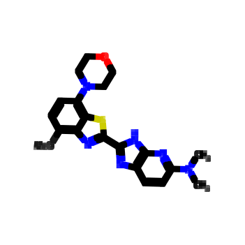 COc1ccc(N2CCOCC2)c2sc(-c3nc4ccc(N(C)C)nc4[nH]3)nc12